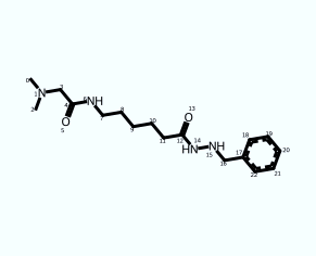 CN(C)CC(=O)NCCCCCC(=O)NNCc1ccccc1